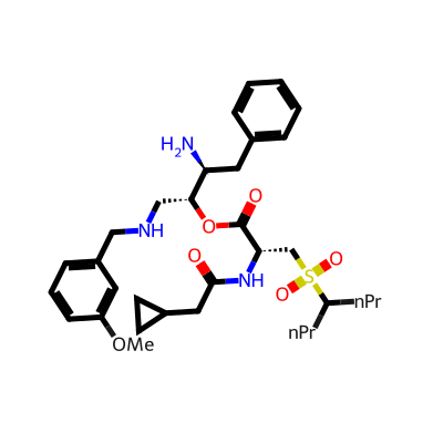 CCCC(CCC)S(=O)(=O)C[C@H](NC(=O)CC1CC1)C(=O)O[C@H](CNCc1cccc(OC)c1)[C@@H](N)Cc1ccccc1